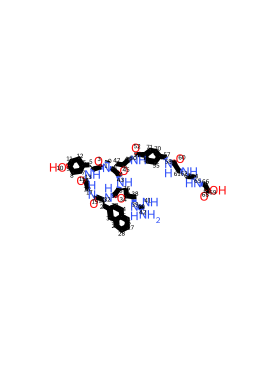 CN1C(=O)[C@@H](Cc2ccc(O)cc2)NC(=O)CNC(=O)[C@H](Cc2ccc3ccccc3c2)NC(=O)[C@H](CCCNC(=N)N)NC(=O)[C@H]1CCCNC(=O)c1ccc(CNC(=O)CNCCNCC(=O)O)cc1